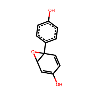 OC1=CC2OC2(c2ccc(O)cc2)C=C1